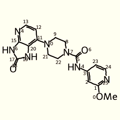 COc1cc(NC(=O)N2CCN(c3ccnc4[nH]c(=O)[nH]c34)CC2)ccn1